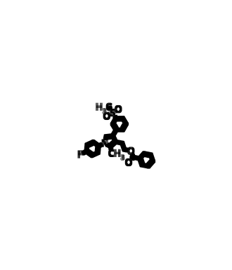 Cc1c(CCOC(=O)c2ccccc2)c(-c2cccc(S(C)(=O)=O)c2)cn1-c1ccc(F)cc1